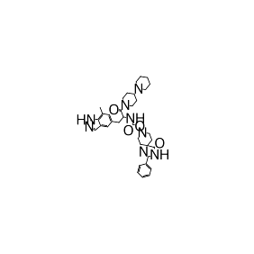 Cc1cc(CC(NC(=O)ON2CCC3(CC2)N=C(c2ccccc2)NC3=O)C(=O)N2CCC(N3CCCCC3)CC2)cc2cn[nH]c12